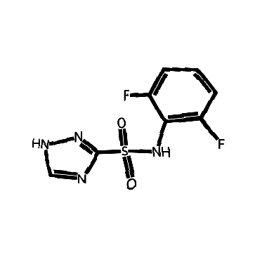 O=S(=O)(Nc1c(F)cccc1F)c1nc[nH]n1